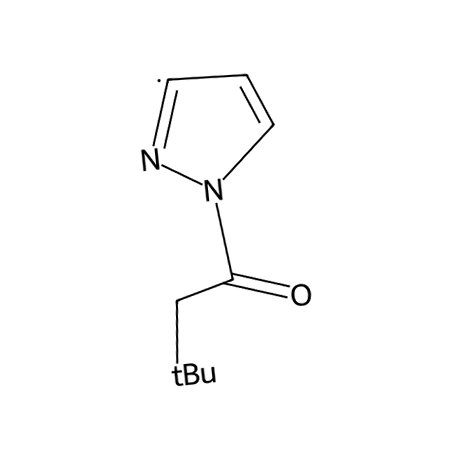 CC(C)(C)CC(=O)n1cc[c]n1